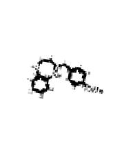 COc1ccc(CN2CCOc3ccccc3S2)cc1